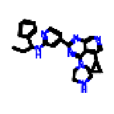 CCC(Nc1cc(-c2nc(N3CCNCC3)c3c(C4CC4)cncc3n2)ccn1)c1ccccc1